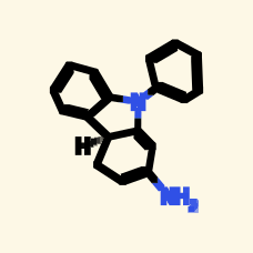 NC1=CC[C@@H]2C(=C1)N(c1ccccc1)c1ccccc12